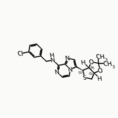 CC1(C)O[C@@H]2[C@@H](CS[C@H]2c2cnc3c(NCc4cccc(Cl)c4)nccn23)O1